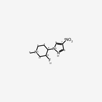 CN1CCC(n2cc([N+](=O)[O-])cn2)C(F)C1